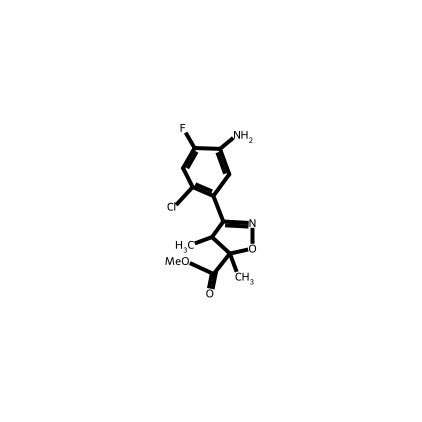 COC(=O)C1(C)ON=C(c2cc(N)c(F)cc2Cl)C1C